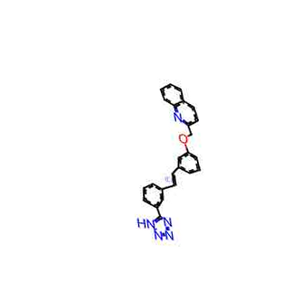 C(=C\c1cccc(-c2nnn[nH]2)c1)/c1cccc(OCc2ccc3ccccc3n2)c1